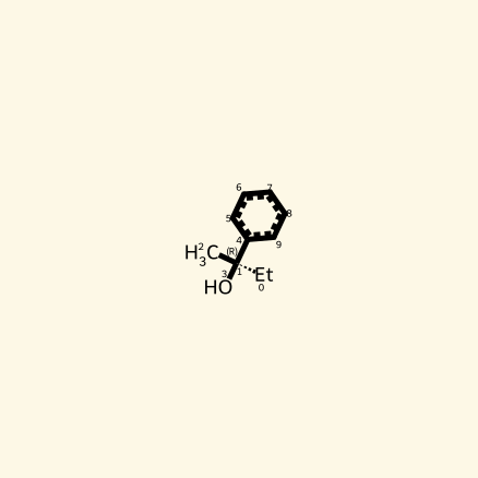 [CH2]C[C@@](C)(O)c1ccccc1